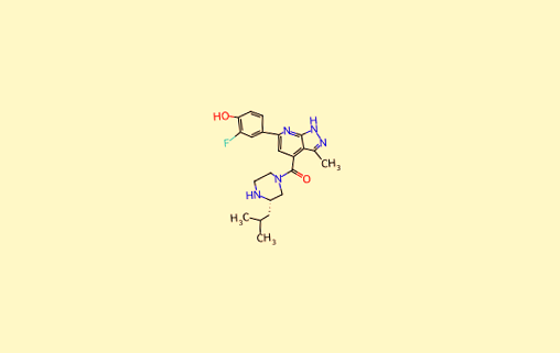 Cc1n[nH]c2nc(-c3ccc(O)c(F)c3)cc(C(=O)N3CCN[C@@H](CC(C)C)C3)c12